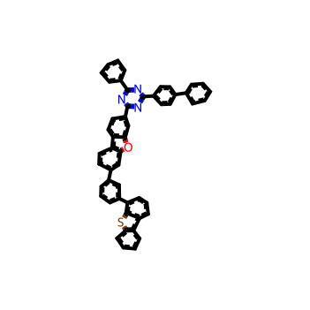 c1ccc(-c2ccc(-c3nc(-c4ccccc4)nc(-c4ccc5c(c4)oc4cc(-c6cccc(-c7cccc8c7sc7ccccc78)c6)ccc45)n3)cc2)cc1